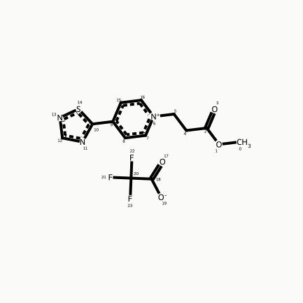 COC(=O)CC[n+]1ccc(-c2ncns2)cc1.O=C([O-])C(F)(F)F